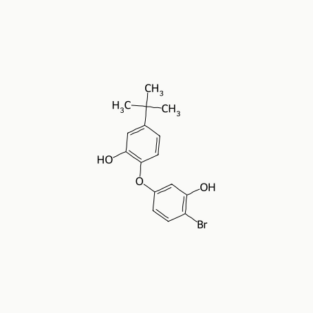 CC(C)(C)c1ccc(Oc2ccc(Br)c(O)c2)c(O)c1